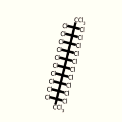 ClC(Cl)(Cl)C(Cl)(Cl)C(Cl)(Cl)C(Cl)(Cl)C(Cl)(Cl)C(Cl)(Cl)C(Cl)(Cl)C(Cl)(Cl)C(Cl)(Cl)C(Cl)(Cl)C(Cl)(Cl)C(Cl)(Cl)Cl